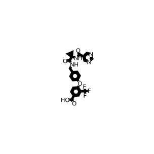 O=C(O)c1ccc(Oc2ccc(CNC(=O)C3(NC(=O)c4cncnc4)CC3)cc2)c(C(F)(F)F)c1